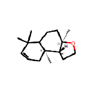 CC1(C)C=CC[C@@]2(C)C1CC[C@@]1(C)OCC[C@@H]12